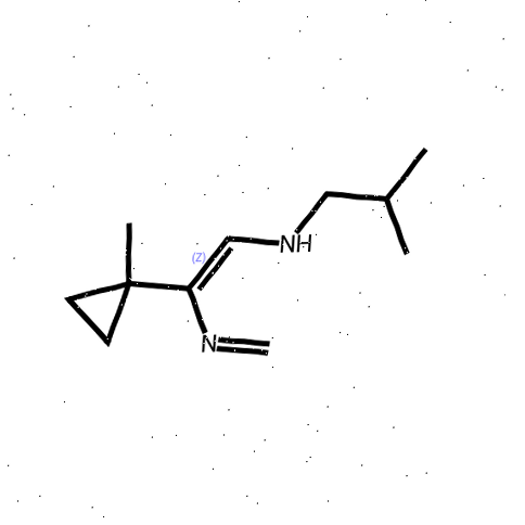 C=N/C(=C\NCC(C)C)C1(C)CC1